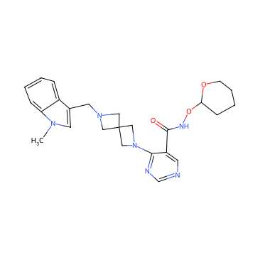 Cn1cc(CN2CC3(C2)CN(c2ncncc2C(=O)NOC2CCCCO2)C3)c2ccccc21